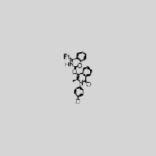 CC[C@H](NC(=O)Oc1c(C)n(-c2ccc(Cl)cc2)c(=O)c2ccccc12)c1ccccc1